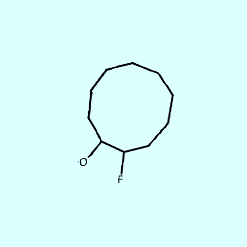 [O]C1CCCCCCCCC1F